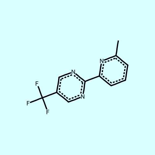 Cc1cccc(-c2ncc(C(F)(F)F)cn2)n1